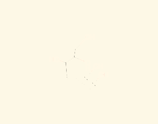 CC(=O)C(O)C(O)CO.O=[N+]([O-])O.O=[N+]([O-])O